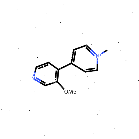 COc1cnccc1-c1cc[n+](C)cc1